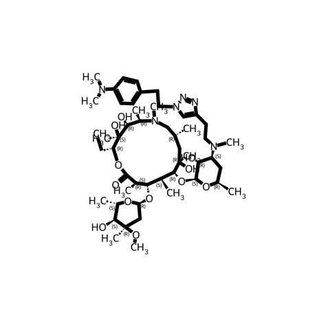 CC[C@H]1OC(=O)[C@H](C)[C@@H](O[C@H]2C[C@@](C)(OC)[C@@H](O)[C@H](C)O2)[C@H](C)[C@@H](O[C@@H]2O[C@H](C)C[C@H](N(C)CCc3cn(CCc4ccc(N(C)C)cc4)nn3)[C@H]2O)[C@](C)(O)C[C@@H](C)CN(C)[C@H](C)[C@@H](O)[C@]1(C)O